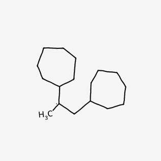 C[C](CC1CCCCCC1)C1CCCCCC1